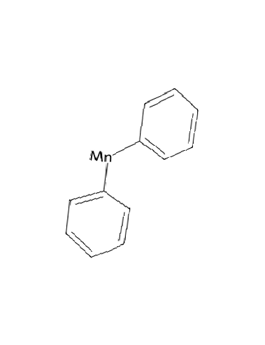 c1cc[c]([Mn][c]2ccccc2)cc1